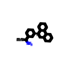 CNC(N)C1CCCC([C@@H]2CC3CCCCC3C3CCCCC32)C1